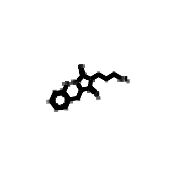 CCCCN1C(=O)NC(Cc2ccccc2Br)C1=O